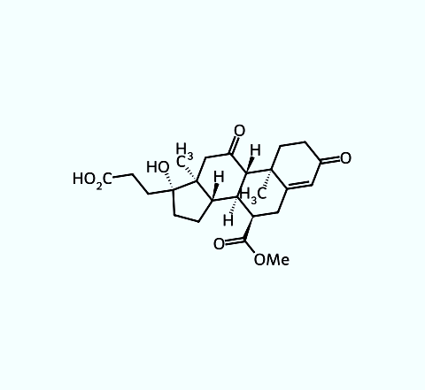 COC(=O)[C@@H]1CC2=CC(=O)CC[C@]2(C)[C@H]2C(=O)C[C@@]3(C)[C@@H](CC[C@@]3(O)CCC(=O)O)[C@H]12